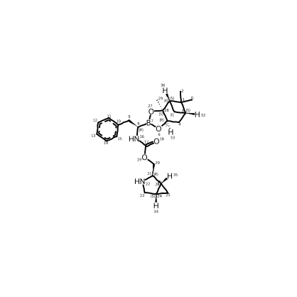 CC1(C)[C@@H]2C[C@H]3OB([C@H](Cc4ccccc4)NC(=O)OC[C@@H]4NC[C@H]5C[C@H]54)O[C@@]3(C)[C@H]1C2